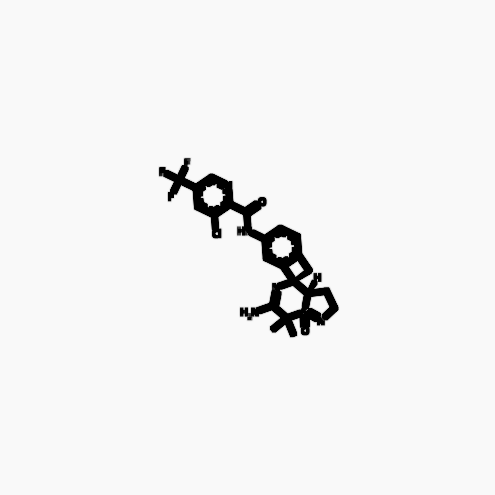 CC1(C)C(N)=N[C@@]2(Cc3ccc(NC(=O)c4ncc(C(F)(F)F)cc4Cl)cc32)[C@@H]2CCN=S21=O